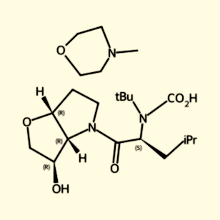 CC(C)C[C@@H](C(=O)N1CC[C@H]2OC[C@H](O)[C@H]21)N(C(=O)O)C(C)(C)C.CN1CCOCC1